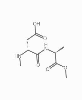 CN[C@H](CC(=O)O)C(=O)N[C@@H](C)C(=O)OC